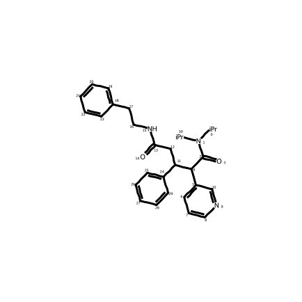 CC(C)N(C(=O)C(c1cccnc1)C(CC(=O)NCCc1ccccc1)c1ccccc1)C(C)C